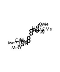 COCC1C[C@@H](c2nc3ccc4cc(-c5ccc6c(ccc7nc([C@@H]8C[C@H](COC)CN8C(=O)[C@@H](NC(=O)OC)C(C)C)[nH]c76)c5)ccc4c3[nH]2)N(C(=O)[C@@H](NC(=O)OC)C(C)C)C1